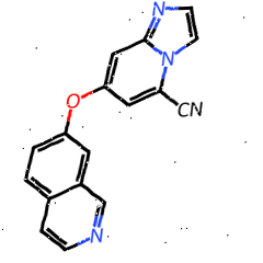 N#Cc1cc(Oc2ccc3ccncc3c2)cc2nccn12